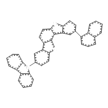 c1ccc2c(-c3ccc4oc5ccc6c7cc(-n8c9ccccc9c9ccccc98)ccc7oc6c5c4c3)cccc2c1